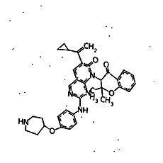 C=C(c1cc2cnc(Nc3ccc(OC4CCNCC4)cc3)nc2n(C2C(=O)c3ccccc3OC2(C)C)c1=O)C1CC1